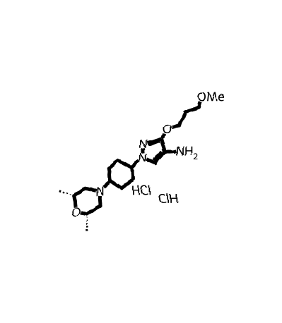 COCCCOc1nn(C2CCC(N3C[C@@H](C)O[C@@H](C)C3)CC2)cc1N.Cl.Cl